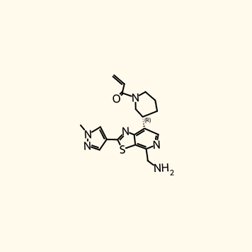 C=CC(=O)N1CCC[C@H](c2cnc(CN)c3sc(-c4cnn(C)c4)nc23)C1